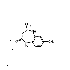 Cc1ccc2c(c1)NC(C)CC(=O)N2